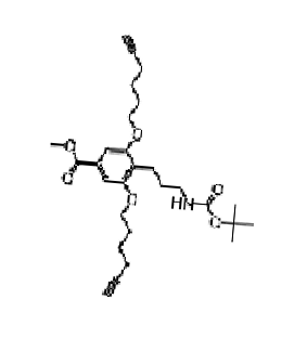 C#CCCCCOc1cc(C(=O)OC)cc(OCCCCC#C)c1CCCNC(=O)OC(C)(C)C